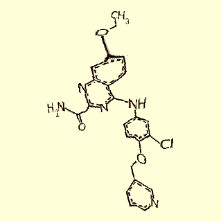 CCOc1[c]cc2c(Nc3ccc(OCc4cccnc4)c(Cl)c3)nc(C(N)=O)nc2c1